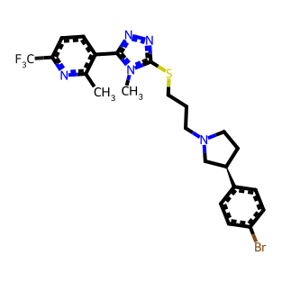 Cc1nc(C(F)(F)F)ccc1-c1nnc(SCCCN2CC[C@@H](c3ccc(Br)cc3)C2)n1C